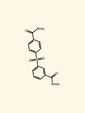 CC(=O)NC(=O)c1ccc(S(=O)(=O)c2cccc(C(=O)NC(C)=O)c2)cc1